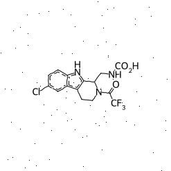 O=C(O)NCC1c2[nH]c3ccc(Cl)cc3c2CCN1C(=O)C(F)(F)F